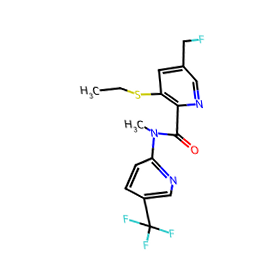 CCSc1cc(CF)cnc1C(=O)N(C)c1ccc(C(F)(F)F)cn1